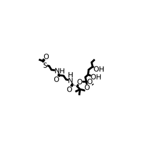 CCC(O)CC(O)CC1(OC)OCC(C)(C)[C@H](C(=O)NCCC(=O)NCCSC(C)=O)O1